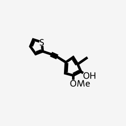 COc1cc(C#Cc2cccs2)cc(C)c1O